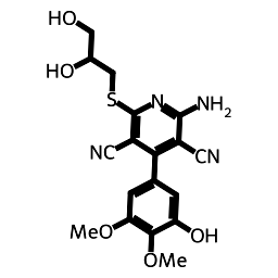 COc1cc(-c2c(C#N)c(N)nc(SCC(O)CO)c2C#N)cc(O)c1OC